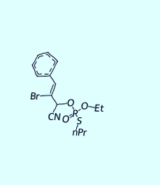 CCCSP(=O)(OCC)OC(C#N)C(Br)=Cc1ccccc1